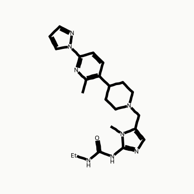 CCNC(=O)Nc1ncc(CN2CCC(c3ccc(-n4cccn4)nc3C)CC2)n1C